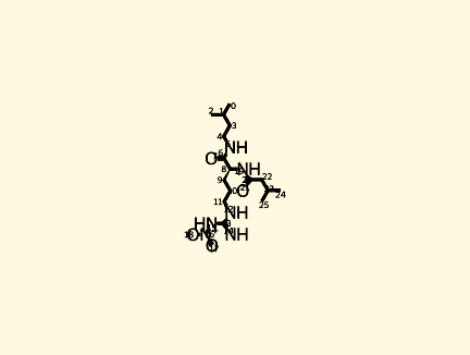 CC(C)CCNC(=O)[C@H](CCCNC(=N)N[N+](=O)[O-])NC(=O)CC(C)C